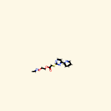 C/C=N/OCCOC(=O)CSc1nccc(-c2ccccn2)n1